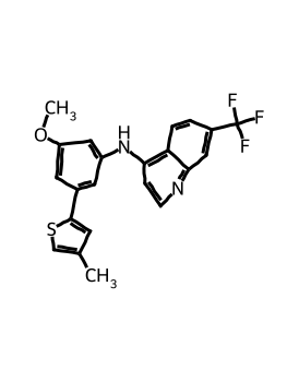 COc1cc(Nc2ccnc3cc(C(F)(F)F)ccc23)cc(-c2cc(C)cs2)c1